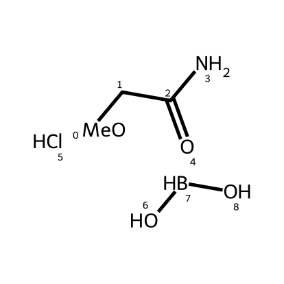 COCC(N)=O.Cl.OBO